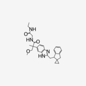 CCNC(=O)CNC(=O)C(C)(COC)c1ccc2nc(CC3c4ccccc4CC34CC4)[nH]c2c1